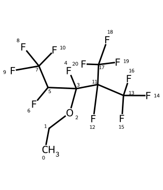 CCOC(F)(C(F)C(F)(F)F)C(F)(C(F)(F)F)C(F)(F)F